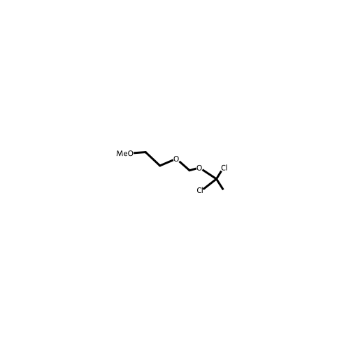 COCCOCOC(C)(Cl)Cl